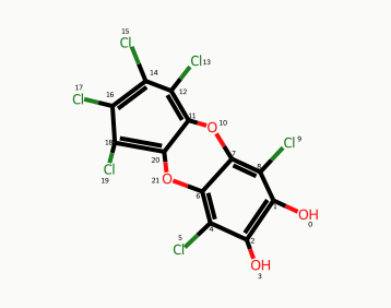 Oc1c(O)c(Cl)c2c(c1Cl)Oc1c(Cl)c(Cl)c(Cl)c(Cl)c1O2